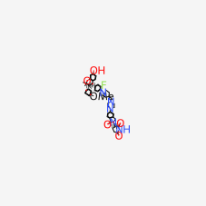 COc1cccc([C@H]2[C@@H](c3ccc(N4CCC(CN5CCN(c6ccc7c(c6)CN([C@H]6CCC(=O)NC6=O)C7=O)CC5)CC4)c(F)c3)c3ccc(O)cc3OC2(C)C)c1